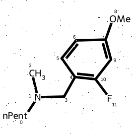 CCCCCN(C)Cc1ccc(OC)cc1F